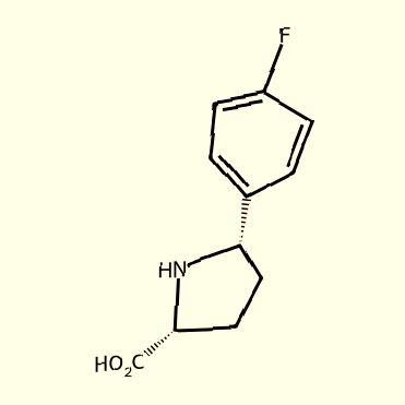 O=C(O)[C@H]1CC[C@@H](c2ccc(F)cc2)N1